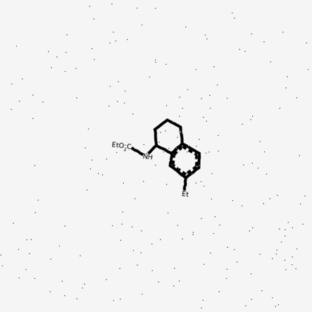 CCOC(=O)NC1CCCc2ccc(CC)cc21